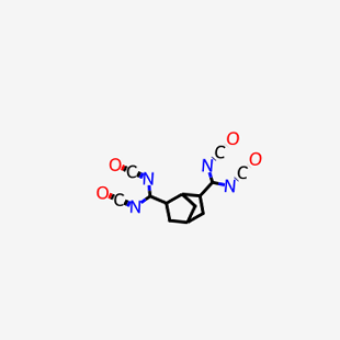 O=C=NC(N=C=O)C1CC2CC(C(N=C=O)N=C=O)C1C2